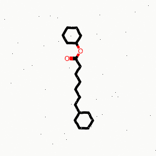 O=C(CCCCCCC1CCCCC1)OC1CCCCC1